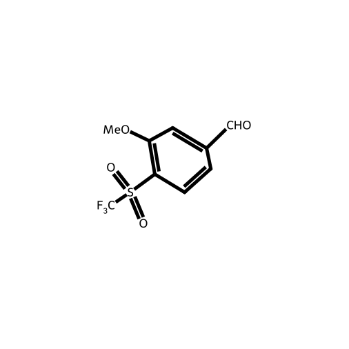 COc1cc(C=O)ccc1S(=O)(=O)C(F)(F)F